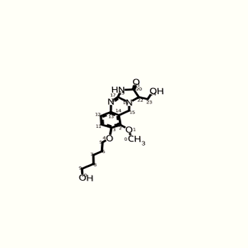 COc1c(OCCCCCO)ccc2c1CN1C(=N2)NC(=O)C1CO